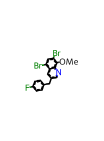 COc1c(Br)cc(Br)c2cc(Cc3ccc(F)cc3)cnc12